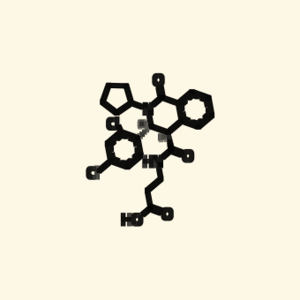 O=C(O)CCNC(=O)[C@@H]1c2ccccc2C(=O)N(C2CCCC2)[C@H]1c1ccc(Cl)cc1Cl